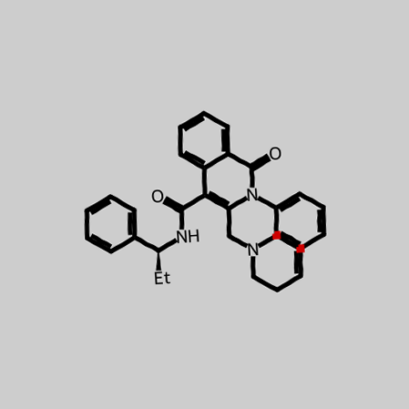 CC[C@H](NC(=O)c1c(CN2CC=CCC2)n(-c2ccccc2)c(=O)c2ccccc12)c1ccccc1